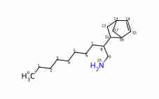 CCCCCCCCC(CN)C1CC2C=CC1C2